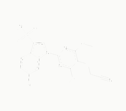 COc1nc(-n2cc(S(N)(=O)=O)c3ccc(Br)cc32)nc(OC)c1OCC#N